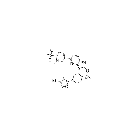 CCc1noc(N2CCC([C@H](C)Oc3nc4ccc(C5=CC=C(S(C)(=O)=O)N(C)C5)nc4s3)CC2)n1